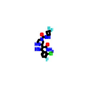 N=C(/C(C(N)=O)=C1/CN(C(=O)NC2CC(F)(F)C2)CCN1)c1ccc(F)c(Cl)c1